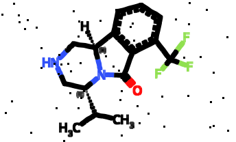 CC(C)[C@@H]1CNC[C@H]2c3cccc(C(F)(F)F)c3C(=O)N21